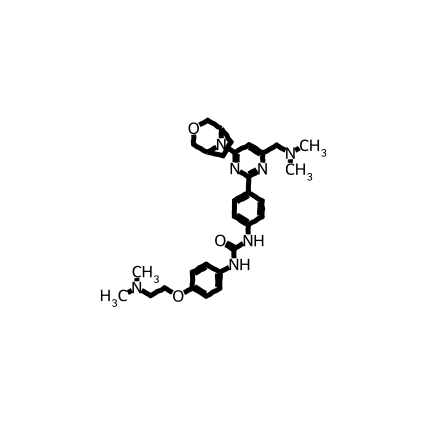 CN(C)CCOc1ccc(NC(=O)Nc2ccc(-c3nc(CN(C)C)cc(N4C5CCC4COC5)n3)cc2)cc1